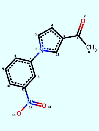 CC(=O)c1ccn(-c2cccc([N+](=O)[O-])c2)c1